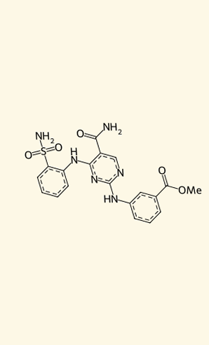 COC(=O)c1cccc(Nc2ncc(C(N)=O)c(Nc3ccccc3S(N)(=O)=O)n2)c1